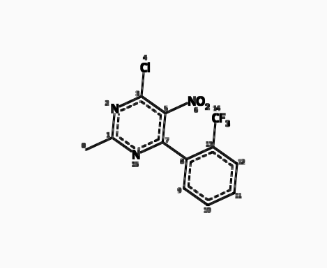 Cc1nc(Cl)c([N+](=O)[O-])c(-c2ccccc2C(F)(F)F)n1